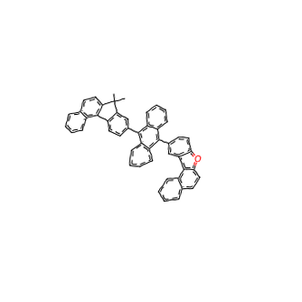 CC1(C)c2cc(-c3c4ccccc4c(-c4ccc5oc6ccc7ccccc7c6c5c4)c4ccccc34)ccc2-c2c1ccc1ccccc21